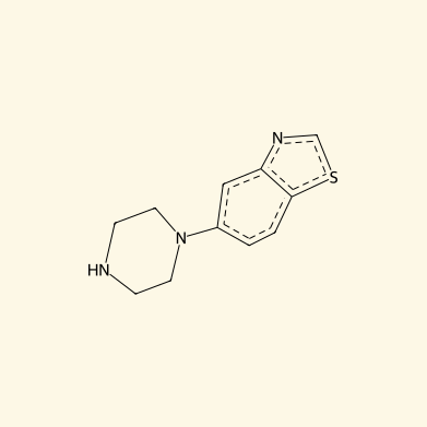 c1nc2cc(N3CCNCC3)ccc2s1